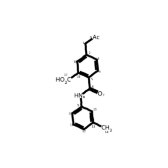 CC(=O)Cc1ccc(C(=O)Nc2cccc(C)c2)c(C(=O)O)c1